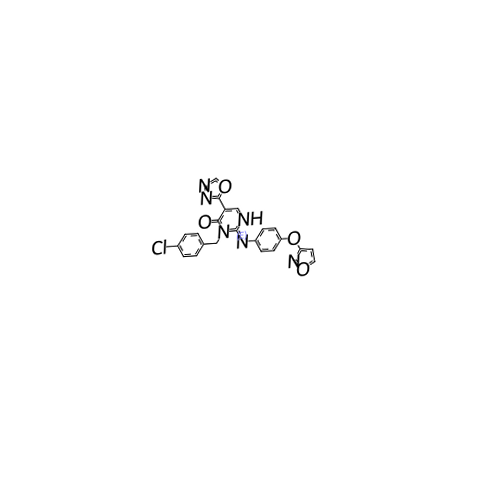 O=c1c(-c2nnco2)c[nH]/c(=N\c2ccc(Oc3ccon3)cc2)n1Cc1ccc(Cl)cc1